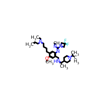 C=CCN(CC)CCCCc1cc(/N=C(\N=C)N2CC(F)(F)C2)c(CN[C@H](C)C2CCN(C(C)C)CC2)cc1OC